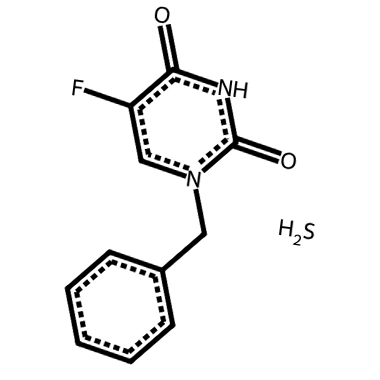 O=c1[nH]c(=O)n(Cc2ccccc2)cc1F.S